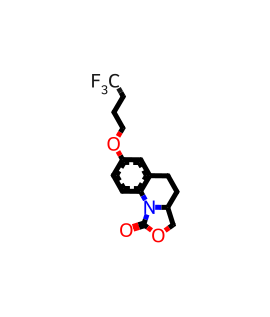 O=C1OCC2CCc3cc(OCCCC(F)(F)F)ccc3N12